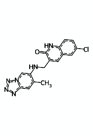 Cc1cc2nnnn2cc1NCc1cc2cc(Cl)ccc2[nH]c1=O